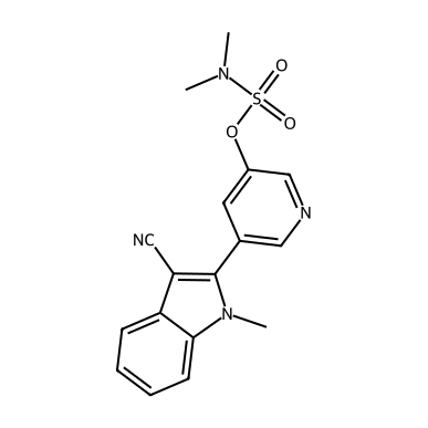 CN(C)S(=O)(=O)Oc1cncc(-c2c(C#N)c3ccccc3n2C)c1